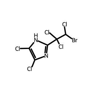 Clc1nc(C(Cl)(Cl)C(Cl)Br)[nH]c1Cl